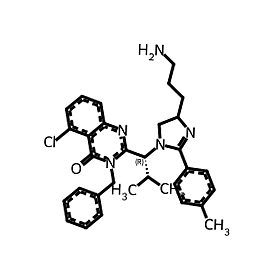 Cc1ccc(C2=NC(CCCN)CN2[C@@H](c2nc3cccc(Cl)c3c(=O)n2Cc2ccccc2)C(C)C)cc1